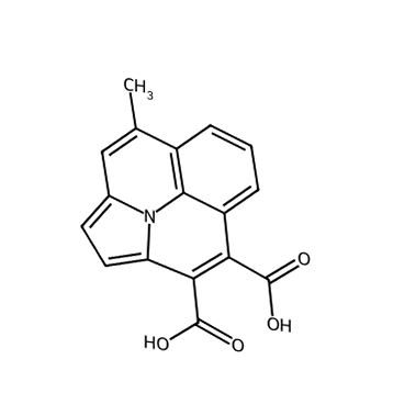 Cc1cc2ccc3c(C(=O)O)c(C(=O)O)c4cccc1c4n23